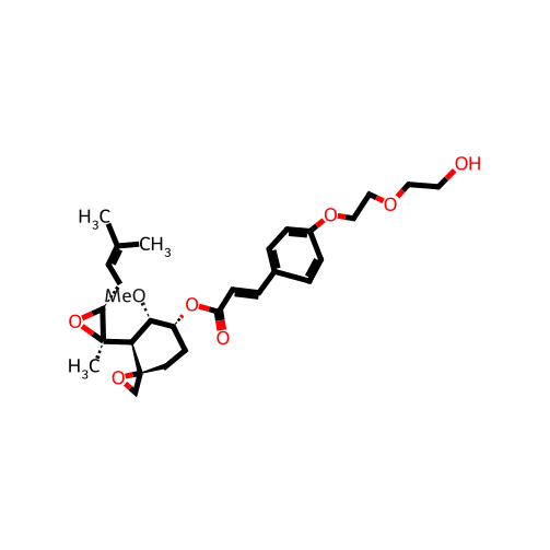 CO[C@@H]1[C@H](OC(=O)/C=C/c2ccc(OCCOCCO)cc2)CC[C@]2(CO2)[C@H]1[C@@]1(C)O[C@@H]1CC=C(C)C